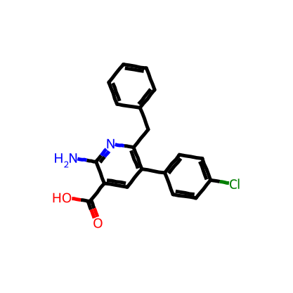 Nc1nc(Cc2ccccc2)c(-c2ccc(Cl)cc2)cc1C(=O)O